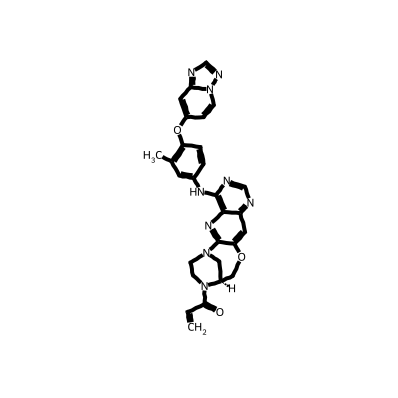 C=CC(=O)N1CCN2C[C@H]1COc1cc3ncnc(Nc4ccc(Oc5ccn6ncnc6c5)c(C)c4)c3nc12